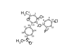 Cc1cc(=O)c(Oc2ccc(Cl)cc2F)c(-c2ccc([S+](C)[O-])cc2)o1